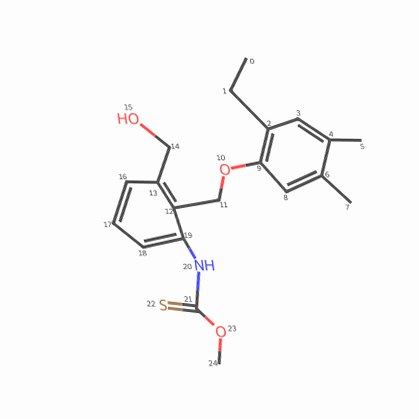 CCc1cc(C)c(C)cc1OCc1c(CO)cccc1NC(=S)OC